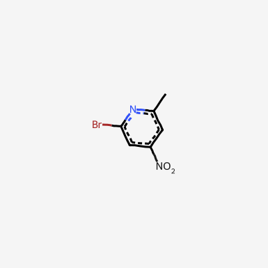 Cc1cc([N+](=O)[O-])cc(Br)n1